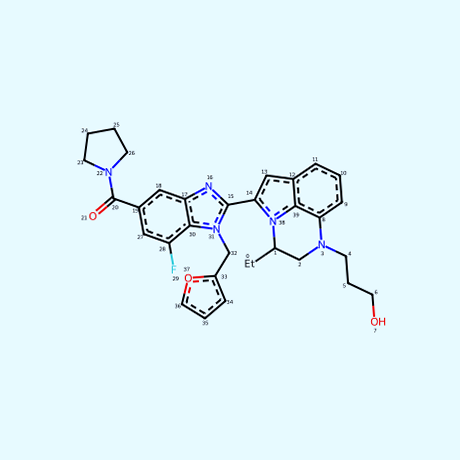 CCC1CN(CCCO)c2cccc3cc(-c4nc5cc(C(=O)N6CCCC6)cc(F)c5n4Cc4ccco4)n1c23